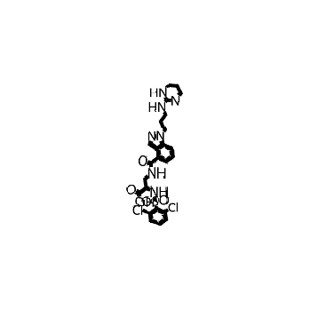 O=C(NCC(NS(=O)(=O)c1c(Cl)cccc1Cl)C(=O)O)c1cccc2c1cnn2CCCNC1N=CCCN1